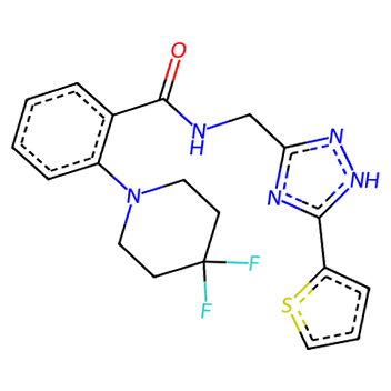 O=C(NCc1n[nH]c(-c2cccs2)n1)c1ccccc1N1CCC(F)(F)CC1